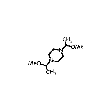 COC(C)N1CCN(C(C)OC)CC1